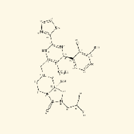 CCOC(=O)C1=C(CN2CCN3C(=O)N(CC(F)F)C[C@@H]3C2)NC(c2nccs2)=N[C@H]1c1cccc(F)c1Cl